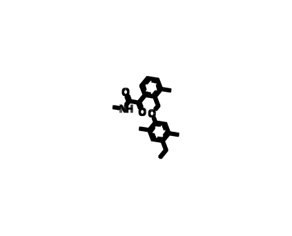 CCc1cc(C)c(OCc2c(C)cccc2C(=O)C(=O)NC)cc1C